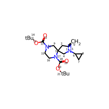 C=CCC1(CNC2CC2)CN(C(=O)OC(C)(C)C)CCN1C(=O)OC(C)(C)C